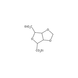 CCOC(=O)C1OC(C(=O)OCC)C2OCOC12